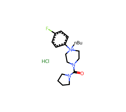 CCCC[N+]1(c2ccc(F)cc2)CCN(C(=O)N2CCCC2)CC1.Cl